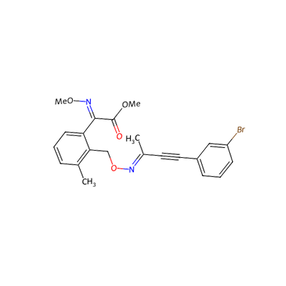 CO/N=C(/C(=O)OC)c1cccc(C)c1CO/N=C(\C)C#Cc1cccc(Br)c1